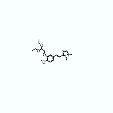 CCOC(COc1cc(/C=C/c2scc(C)[n+]2C)ccc1OC)OCC